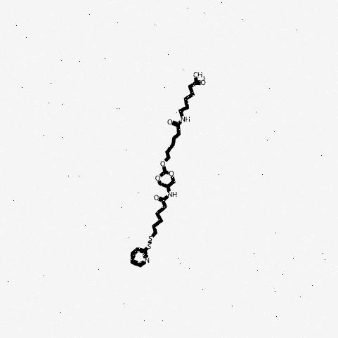 CC(=O)CCCCCNC(=O)CCCCCOC1OCC(NC(=O)CCCCCSSc2ccccn2)CO1